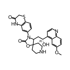 COc1ccc2nccc([C@H](O)CC3N(c4ccc5c(c4)NC(=O)CS5)C(=O)OC34CCNCC4)c2c1